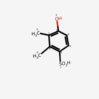 Cc1c(O)ccc(S(=O)(=O)O)c1C